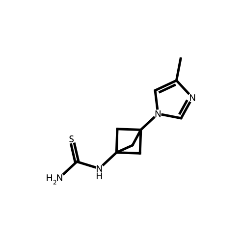 Cc1cn(C23CC(NC(N)=S)(C2)C3)cn1